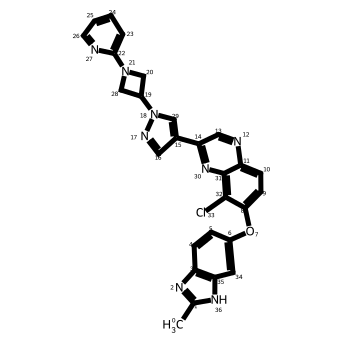 Cc1nc2ccc(Oc3ccc4ncc(-c5cnn(C6CN(c7ccccn7)C6)c5)nc4c3Cl)cc2[nH]1